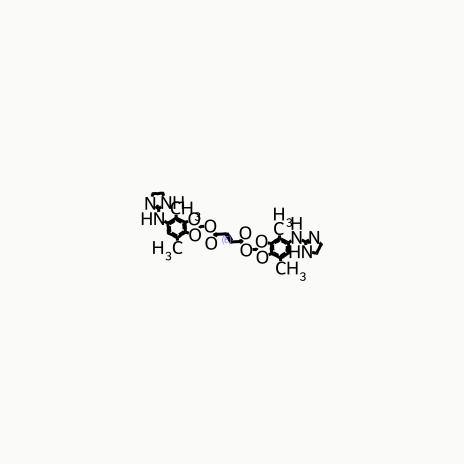 Cc1cc(NC2=NCCN2)c(C)c2c1OC(OC(=O)/C=C/C(=O)OC1Oc3c(C)cc(NC4=NCCN4)c(C)c3O1)O2